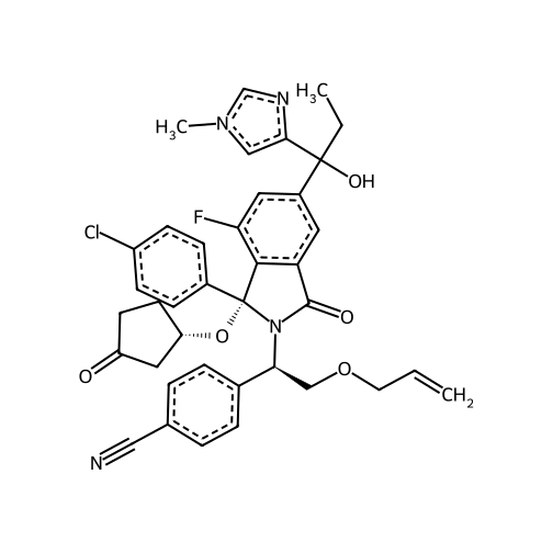 C=CCOC[C@@H](c1ccc(C#N)cc1)N1C(=O)c2cc(C(O)(CC)c3cn(C)cn3)cc(F)c2[C@]1(O[C@H]1CCC(=O)C1)c1ccc(Cl)cc1